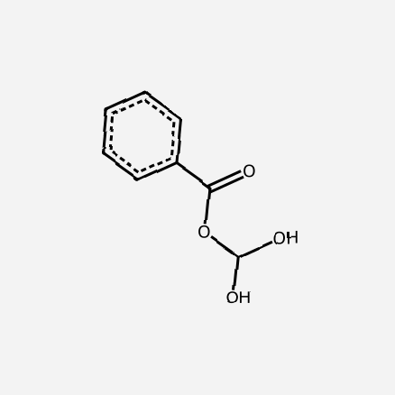 O=C(OC(O)O)c1ccccc1